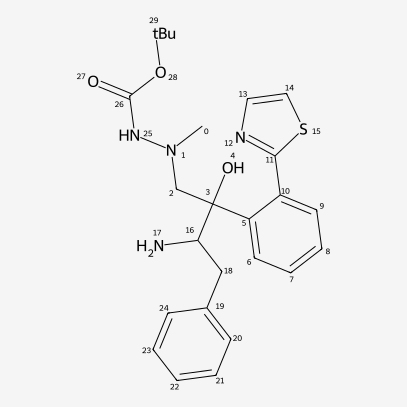 CN(CC(O)(c1ccccc1-c1nccs1)C(N)Cc1ccccc1)NC(=O)OC(C)(C)C